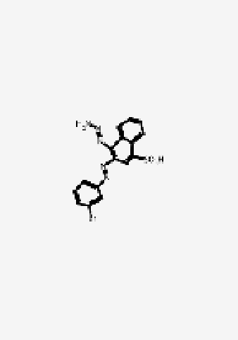 NN=Nc1c(/N=N/c2cccc(Br)c2)cc(S(=O)(=O)O)c2ccccc12